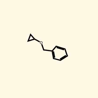 c1ccc(COC2CC2)cc1